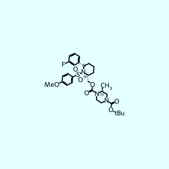 COc1ccc(S(=O)(=O)N2[C@@H](COC(=O)N3CCN(C(=O)OC(C)(C)C)C[C@@H]3C)CCC[C@H]2c2cccc(F)c2)cc1